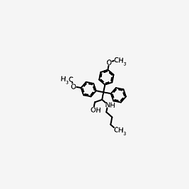 CCCCNC(CO)C(c1ccccc1)(c1ccc(OC)cc1)c1ccc(OC)cc1